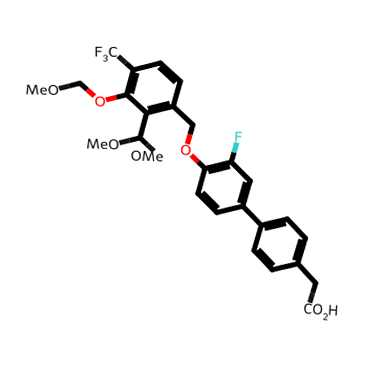 COCOc1c(C(F)(F)F)ccc(COc2ccc(-c3ccc(CC(=O)O)cc3)cc2F)c1C(OC)OC